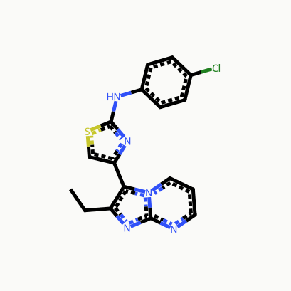 CCc1nc2ncccn2c1-c1csc(Nc2ccc(Cl)cc2)n1